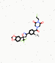 Cc1cc(C2=NOC(c3ccc4c(c3)OCO4)(C(F)(F)F)C2)ccc1C(=O)N1CC(=O)N(CCF)C(=O)C1